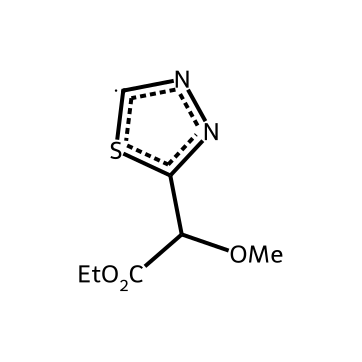 CCOC(=O)C(OC)c1nn[c]s1